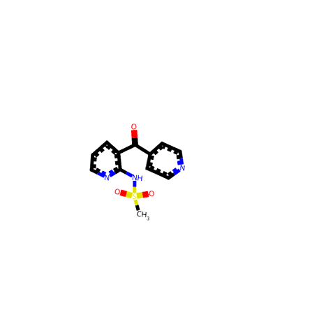 CS(=O)(=O)Nc1ncccc1C(=O)c1ccncc1